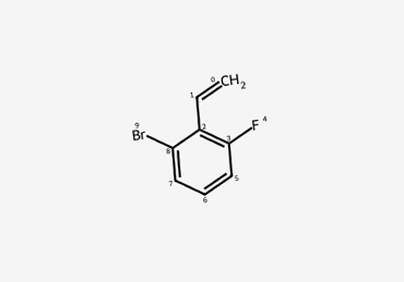 C=Cc1c(F)cccc1Br